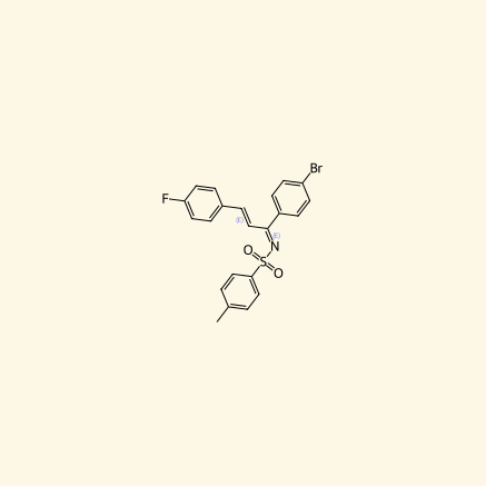 Cc1ccc(S(=O)(=O)/N=C(\C=C\c2ccc(F)cc2)c2ccc(Br)cc2)cc1